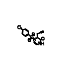 C#CCC1C(=O)NC=CN1S(=O)(=O)c1ccc(Cl)cc1